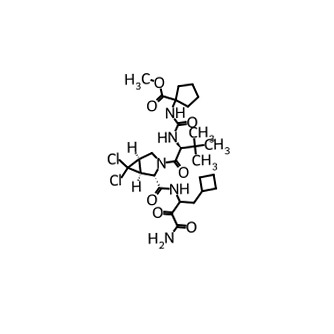 COC(=O)C1(NC(=O)N[C@H](C(=O)N2C[C@H]3[C@@H]([C@H]2C(=O)NC(CC2CCC2)C(=O)C(N)=O)C3(Cl)Cl)C(C)(C)C)CCCC1